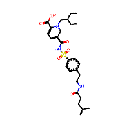 CCC(CC)CN1CC(C(=O)NS(=O)(=O)c2ccc(CCNC(=O)CCC(C)C)cc2)=CC=C1C(=O)O